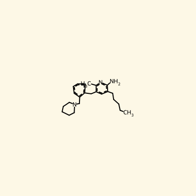 CCCCCc1cc(Cc2ccccc2CN2CCCCC2)c(C)nc1N